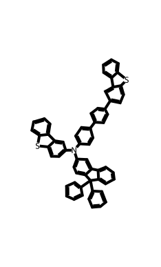 c1ccc(C2(c3ccccc3)c3ccccc3-c3cc(N(c4ccc(-c5ccc(-c6ccc7sc8ccccc8c7c6)cc5)cc4)c4ccc5sc6ccccc6c5c4)ccc32)cc1